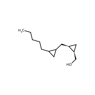 CCCCCC1CC1C[C@H]1C[C@H]1CO